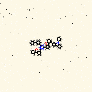 C1=C(c2ccc3c4ccccc4n(-c4ccccc4)c3c2)c2c(oc3c(-c4nc(-c5cccc(-c6ccccc6)c5)nc(-c5cccc6c5oc5ccccc56)n4)cccc23)CC1